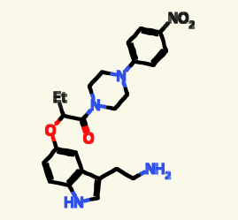 CCC(Oc1ccc2[nH]cc(CCN)c2c1)C(=O)N1CCN(c2ccc([N+](=O)[O-])cc2)CC1